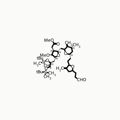 C=C1CC(CCC=O)OC1CC[C@H]1C[C@@H](C)C(=C)C(C[C@@H]2O[C@H](C[C@@H](CO[Si](C)(C)C(C)(C)C)O[Si](C)(C)C(C)(C)C)[C@H](OC)[C@H]2CC(=O)OC)O1